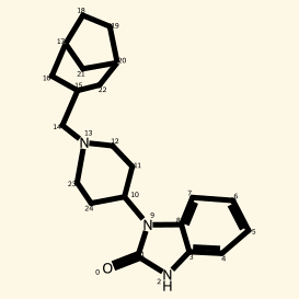 O=c1[nH]c2ccccc2n1C1CCN(CC2CC3CCC(C3)C2)CC1